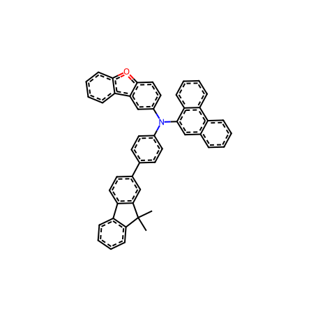 CC1(C)c2ccccc2-c2ccc(-c3ccc(N(c4ccc5oc6ccccc6c5c4)c4cc5ccccc5c5ccccc45)cc3)cc21